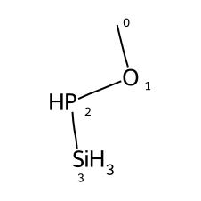 COP[SiH3]